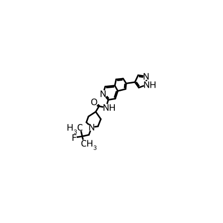 CC(C)(F)CN1CCC(C(=O)Nc2cc3cc(-c4cn[nH]c4)ccc3cn2)CC1